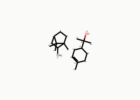 CC(=O)OC1CC2CCC1(C)C2(C)C.CC1=CCC(C(C)(C)O)CC1